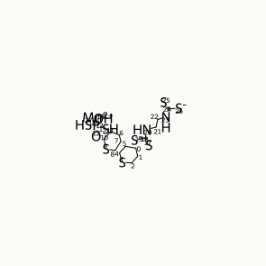 C1CCSCC1.C1CCSCC1.O=P(O)(S)S.S=C([S-])NCCNC(=S)[S-].[Mn+2]